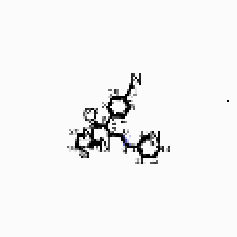 N#Cc1ccc(-c2c(/C=C/c3cccnc3)nc3sccn3c2=O)cc1